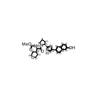 COC(=O)NC(C(=O)N1CCC[C@H]1c1nc(-c2ccc3cc(O)ccc3c2)c[nH]1)C1CCOCC1